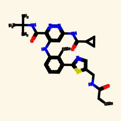 BC(B)(B)NC(=O)c1nnc(NC(=O)C2CC2)cc1Nc1cccc(-c2ncc(CNC(=O)COC)s2)c1OC